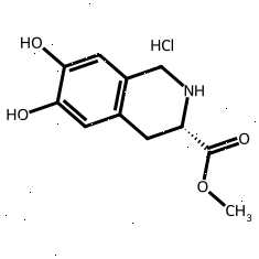 COC(=O)[C@@H]1Cc2cc(O)c(O)cc2CN1.Cl